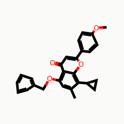 COc1ccc(-c2cc(=O)c3c(OCc4ccccc4)cc(C)c(C4CC4)c3o2)cc1